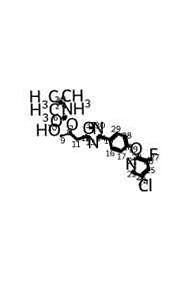 CC(C)(C)NC(=O)O[C@H](CO)Cc1nc(-c2ccc(Oc3ncc(Cl)cc3F)cc2)no1